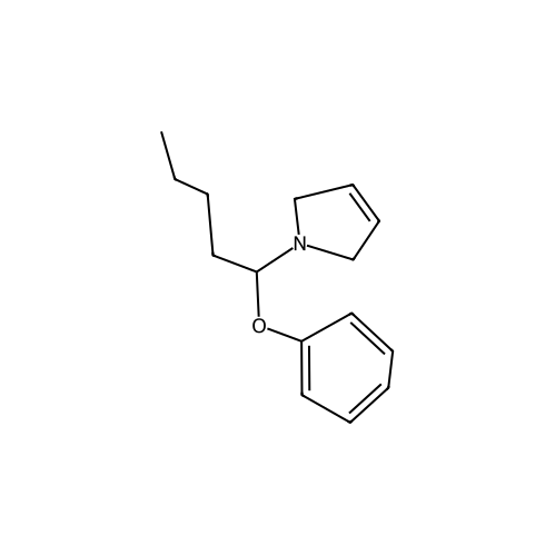 CCCCC(Oc1ccccc1)N1CC=CC1